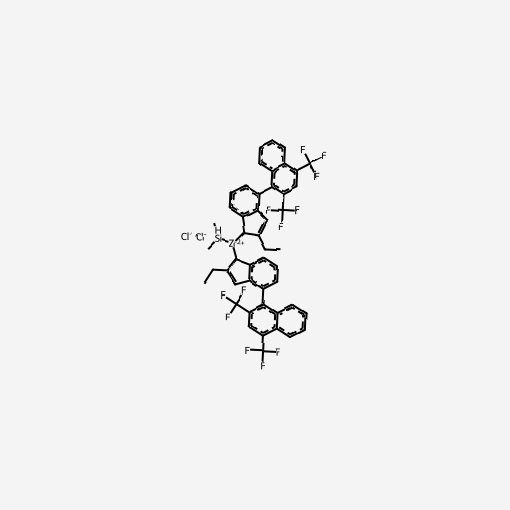 CCC1=Cc2c(-c3c(C(F)(F)F)cc(C(F)(F)F)c4ccccc34)cccc2[CH]1[Zr+2]([CH]1C(CC)=Cc2c(-c3c(C(F)(F)F)cc(C(F)(F)F)c4ccccc34)cccc21)[SiH](C)C.[Cl-].[Cl-]